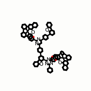 c1ccc(-c2nc(-c3ccc(-c4cccc5c4C4(c6ccccc6-5)c5ccc6ccccc6c5Oc5c4ccc4ccccc54)cc3)nc(-c3cc(-c4ccc(-c5cc(-c6ccc(-c7cccc8c7oc7ccccc78)cc6)nc(-c6ccc(-c7cccc8c7C7(c9ccccc9Oc9c7ccc7ccccc97)c7ccccc7-8)cc6)n5)cc4)cc4c3oc3ccccc34)n2)cc1